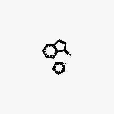 O=C1C=Cc2ccccc21.c1cc[nH]c1